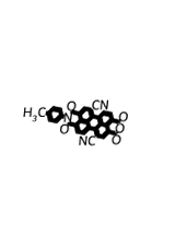 Cc1ccc(N2C(=O)c3ccc4c5c(C#N)cc6c7c(ccc(c8c(C#N)cc(c3c48)C2=O)c75)C(=O)OC6=O)cc1